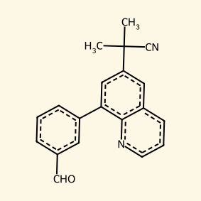 CC(C)(C#N)c1cc(-c2cccc(C=O)c2)c2ncccc2c1